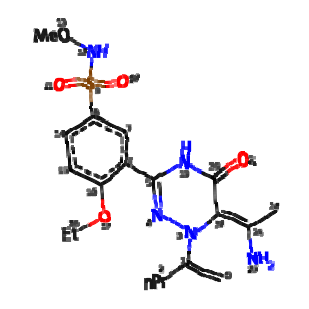 C=C(CCC)N1N=C(c2cc(S(=O)(=O)NOC)ccc2OCC)NC(=O)/C1=C(\C)N